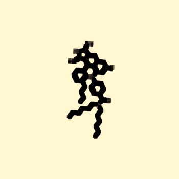 CCCCCCN(CCCCCC)C(=O)C1C=CC(Nc2cc(F)cc3cc4c(c(-c5cccc(CCCC)c5)c23)C(=N)NC4=N)=CC1